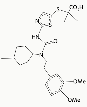 COc1ccc(CCN(C(=O)Nc2ncc(SC(C)(C)C(=O)O)s2)C2CCC(C)CC2)cc1OC